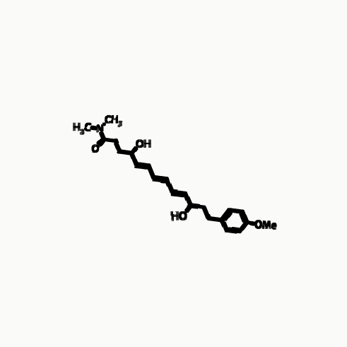 COc1ccc(CCC(O)C=CC=CC=CC(O)CCC(=O)N(C)C)cc1